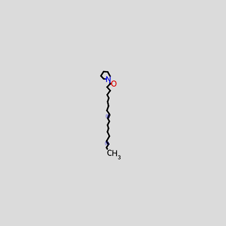 CC/C=C/CCCCC/C=C/CCCCCCCC(=O)N1CCCCC1